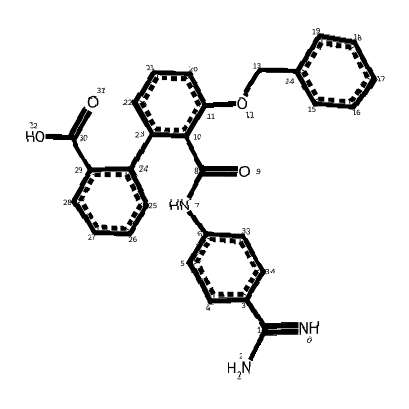 N=C(N)c1ccc(NC(=O)c2c(OCc3ccccc3)cccc2-c2ccccc2C(=O)O)cc1